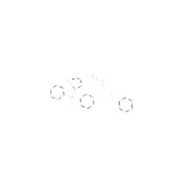 C[N+](C)(CCCOc1ccccc1)Cc1cc(C(O)(c2ccccc2)c2ccccc2)no1